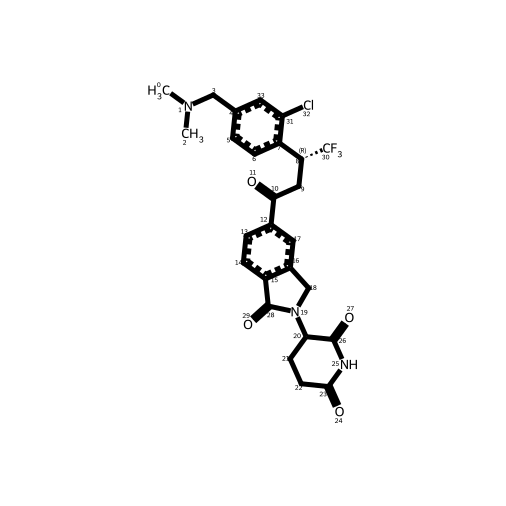 CN(C)Cc1ccc([C@@H](CC(=O)c2ccc3c(c2)CN(C2CCC(=O)NC2=O)C3=O)C(F)(F)F)c(Cl)c1